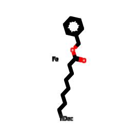 CCCCCCCCCCCCCCCCCC(=O)OCc1ccccc1.[Fe]